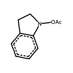 CC(=O)ON1CCc2ccccc21